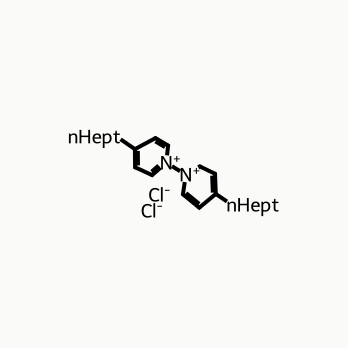 CCCCCCCc1cc[n+](-[n+]2ccc(CCCCCCC)cc2)cc1.[Cl-].[Cl-]